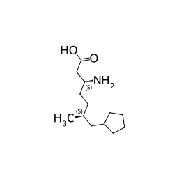 C[C@@H](CC[C@H](N)CC(=O)O)CC1CCCC1